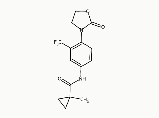 CC1(C(=O)Nc2ccc(N3CCOC3=O)c(C(F)(F)F)c2)CC1